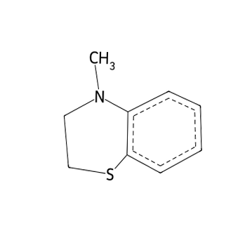 CN1CCSc2ccccc21